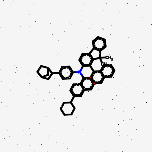 CC1(C)c2ccccc2-c2ccc(N(c3ccc(C4CC5CCC4C5)cc3)c3cccc4cc(C5CCCCC5)ccc34)c(-c3cccc4ccccc34)c21